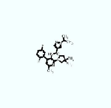 Cc1cc(-c2cc(F)ccc2F)c(NC(=O)c2cnn(C(C)C)c2)c(N2CCC(P)(P)C2)n1